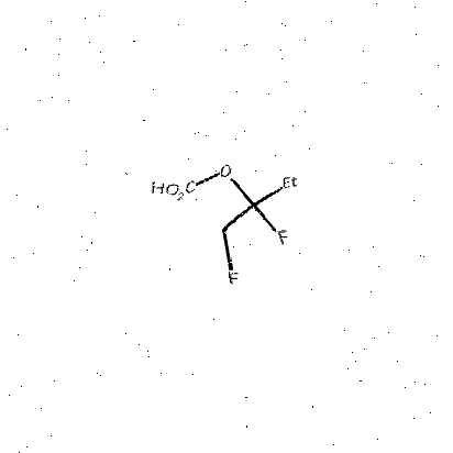 CCC(F)(CF)OC(=O)O